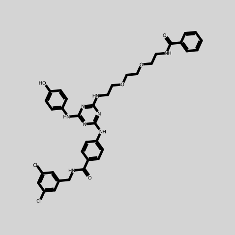 O=C(NCCOCCOCCNc1nc(Nc2ccc(O)cc2)nc(Nc2ccc(C(=O)NCc3cc(Cl)cc(Cl)c3)cc2)n1)c1ccccc1